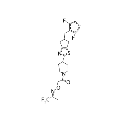 CC(=NOCC(=O)N1CCC(c2nc3c(s2)CC(Cc2c(F)cccc2F)C3)CC1)C(F)(F)F